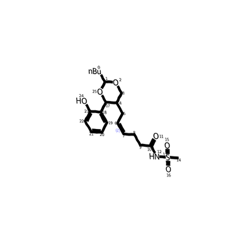 CCCCC1OCC(C/C=C\CCC(=O)NS(C)(=O)=O)C(c2ccccc2O)O1